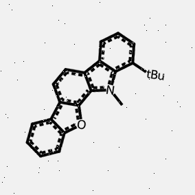 Cn1c2c(C(C)(C)C)cccc2c2ccc3c4ccccc4oc3c21